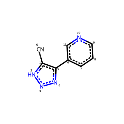 N#Cc1[nH]nnc1-c1cccnc1